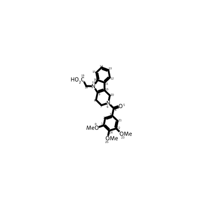 COc1cc(C(=O)N2CCc3c(c4ccccc4n3CC(=O)O)C2)cc(OC)c1OC